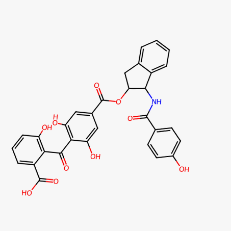 O=C(NC1c2ccccc2CC1OC(=O)c1cc(O)c(C(=O)c2c(O)cccc2C(=O)O)c(O)c1)c1ccc(O)cc1